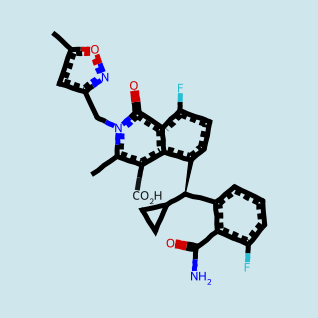 Cc1cc(Cn2c(C)c(C(=O)O)c3c([C@@H](c4cccc(F)c4C(N)=O)C4CC4)ccc(F)c3c2=O)no1